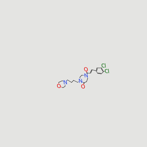 O=C(/C=C/c1ccc(Cl)c(Cl)c1)N1CCC(=O)N(CCCCN2CCOCC2)CC1